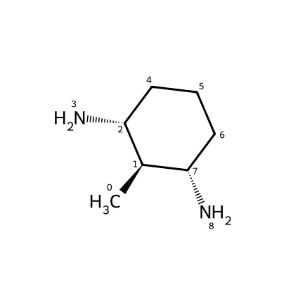 C[C@H]1[C@H](N)CCC[C@@H]1N